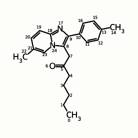 CCCCCC(=O)Cc1c(-c2ccc(C)cc2)nc2ccc(C)cn12